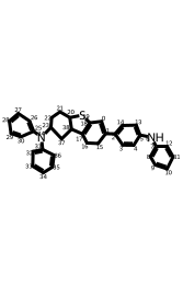 C1=C(c2ccc(Nc3ccccc3)cc2)CCC2=C1SC1CCC(N(c3ccccc3)c3ccccc3)CC21